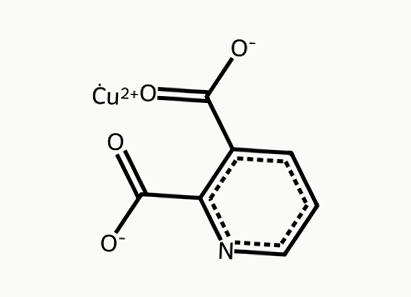 O=C([O-])c1cccnc1C(=O)[O-].[Cu+2]